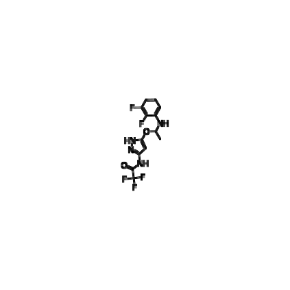 CC(Nc1cccc(F)c1F)Oc1cc(NC(=O)C(F)(F)F)n[nH]1